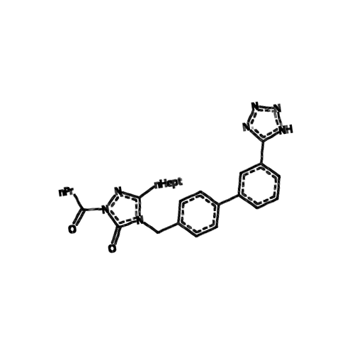 CCCCCCCc1nn(C(=O)CCC)c(=O)n1Cc1ccc(-c2cccc(-c3nnn[nH]3)c2)cc1